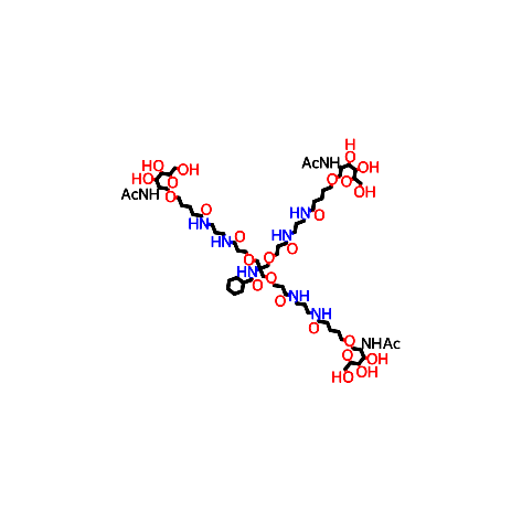 CC(=O)NC1C(OCCCCC(=O)NCCCNC(=O)CCOCC(COCCC(=O)NCCCNC(=O)CCCCOC2OC(CO)C(O)C(O)C2NC(C)=O)(COCCC(=O)NCCCNC(=O)CCCCOC2OC(CO)C(O)C(O)C2NC(C)=O)NC(=O)C2CCCCC2)OC(CO)C(O)C1O